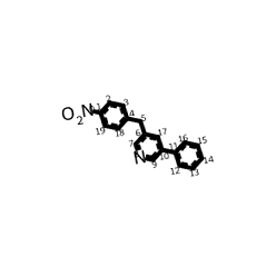 O=[N+]([O-])c1ccc(Cc2cncc(-c3ccccc3)c2)cc1